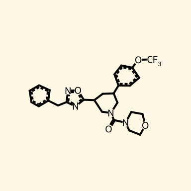 O=C(N1CCOCC1)N1CC(c2ccc(OC(F)(F)F)cc2)CC(c2nc(Cc3ccccc3)no2)C1